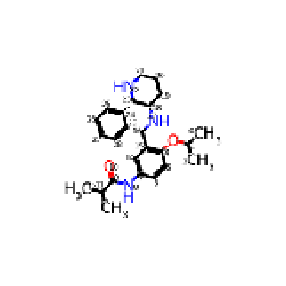 CC(C)Oc1ccc(NC(=O)C(C)C)cc1CN[C@H]1CCCN[C@H]1c1ccccc1